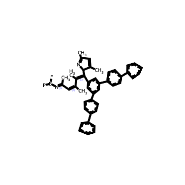 CC1=CC(C)=NC1/C(=C(C)/C(C)=C\C(C)=N\B(F)F)c1cc(-c2ccc(-c3ccccc3)cc2)cc(-c2ccc(-c3ccccc3)cc2)c1